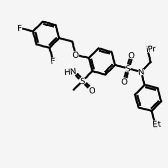 CCc1ccc(N(CC(C)C)S(=O)(=O)c2ccc(OCc3ccc(F)cc3F)c(S(C)(=N)=O)c2)cc1